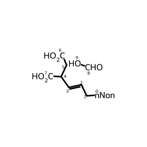 CCCCCCCCCCC=CC(CC(=O)O)C(=O)O.O=CO